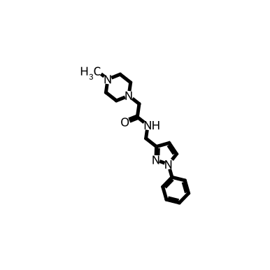 CN1CCN(CC(=O)NCc2ccn(-c3ccccc3)n2)CC1